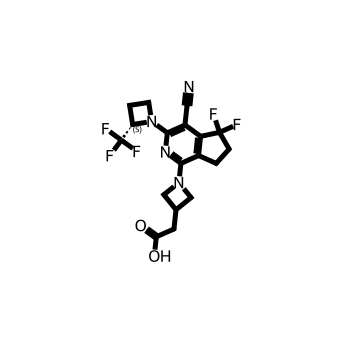 N#Cc1c(N2CC[C@H]2C(F)(F)F)nc(N2CC(CC(=O)O)C2)c2c1C(F)(F)CC2